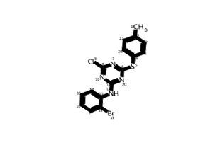 Cc1ccc(Sc2nc(Cl)nc(Nc3ccccc3Br)n2)cc1